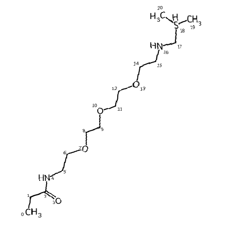 CCC(=O)NCCOCCOCCOCCNC[SH](C)C